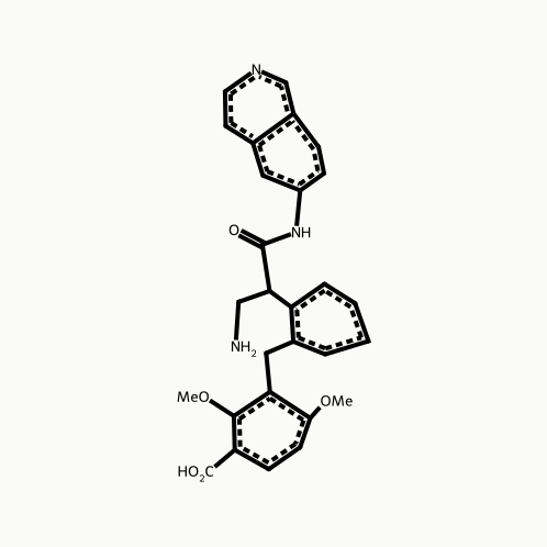 COc1ccc(C(=O)O)c(OC)c1Cc1ccccc1C(CN)C(=O)Nc1ccc2cnccc2c1